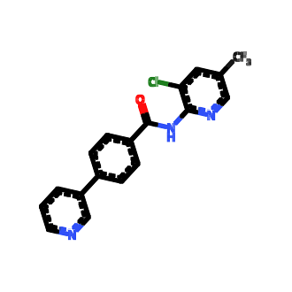 O=C(Nc1ncc(C(F)(F)F)cc1Cl)c1ccc(-c2cccnc2)cc1